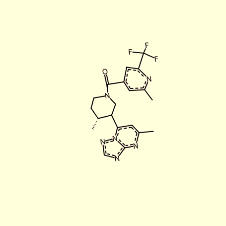 Cc1cc(C(=O)N2CC[C@@H](C)C(c3cc(C)nc4ncnn34)C2)cc(C(F)(F)F)n1